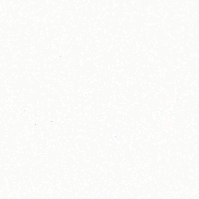 O=C(O)OC1CCCN(CCC[C@H]2Sc3ccccc3Sc3ccccc32)C1